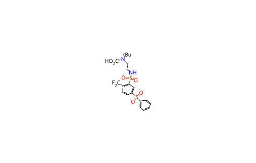 CC(C)(C)N(CCNS(=O)(=O)c1cc(S(=O)(=O)c2ccccc2)ccc1C(F)(F)F)C(=O)O